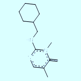 Cc1cnc(NCC2CCCCC2)n(C)c1=O